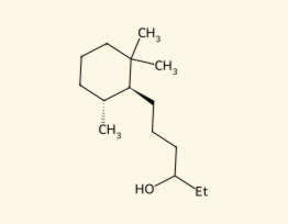 CCC(O)CCC[C@H]1[C@H](C)CCCC1(C)C